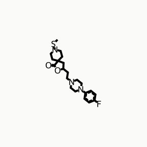 CSN1CCC2(CC1)CC(CCN1CCN(c3ccc(F)cc3)CC1)OC2=O